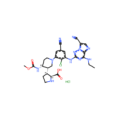 CCNc1nc(Nc2cc(C#N)cc(N3CC[C@@H](NC(=O)OC)C([C@H]4CCN[C@@H]4C(=O)O)C3)c2Cl)nn2c(C#N)cnc12.Cl